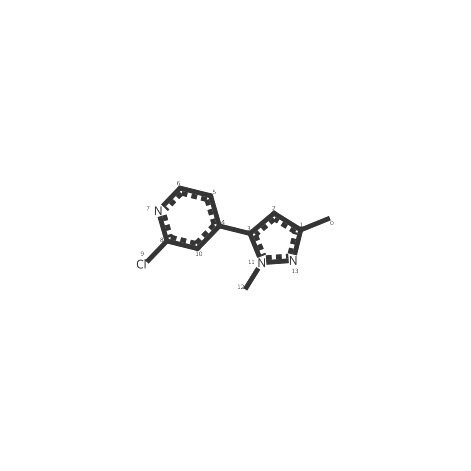 Cc1cc(-c2ccnc(Cl)c2)n(C)n1